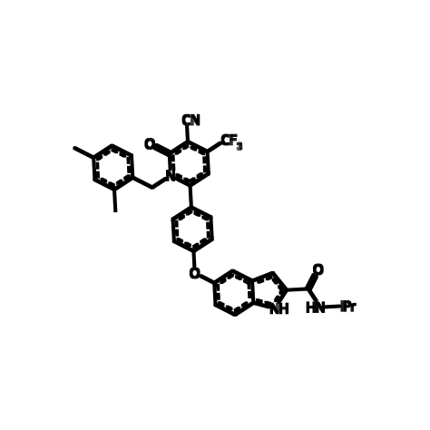 Cc1ccc(Cn2c(-c3ccc(Oc4ccc5[nH]c(C(=O)NC(C)C)cc5c4)cc3)cc(C(F)(F)F)c(C#N)c2=O)c(C)c1